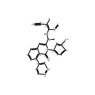 C=N/C(N[C@@H](C)c1cc2cccc(-c3ccnnc3)c2c(=O)n1-c1cccc(F)c1)=C(\C)C#N